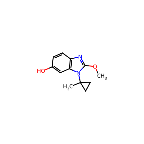 COc1nc2ccc(O)cc2n1C1(C)CC1